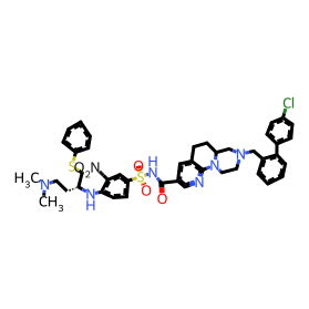 CN(C)CC[C@H](CSc1ccccc1)Nc1ccc(S(=O)(=O)NC(=O)c2cnc3c(c2)CCC2CN(Cc4ccccc4-c4ccc(Cl)cc4)CCN32)cc1[N+](=O)[O-]